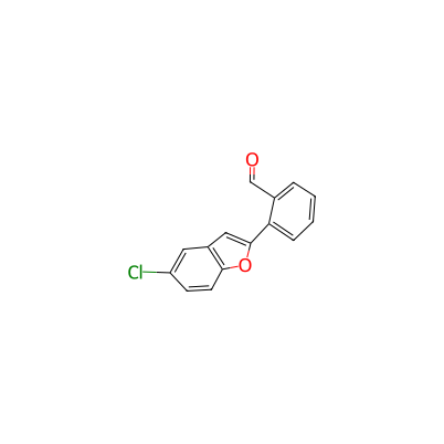 O=Cc1ccccc1-c1cc2cc(Cl)ccc2o1